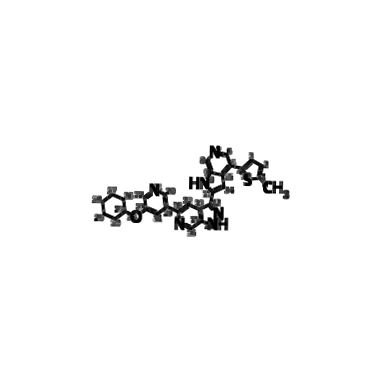 Cc1ccc(-c2cncc3[nH]c(-c4n[nH]c5cnc(-c6cncc(OC7CCCCC7)c6)cc45)cc23)s1